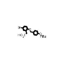 CCCCOc1ccc(COc2ccc(Br)cc2CC(=O)O)cc1